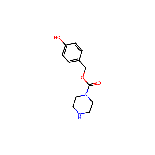 O=C(OCc1ccc(O)cc1)N1CCNCC1